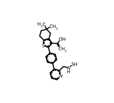 C=C(O)c1c(-c2ccc(-c3cccnc3CNS)cc2)sc2c1CC(C)(C)CC2